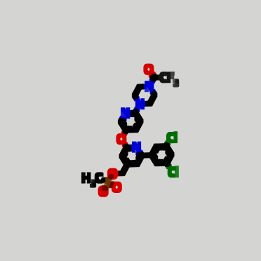 CS(=O)(=O)OCc1cc(Oc2ccc(N3CCN(C(=O)C(F)(F)F)CC3)nc2)nc(-c2cc(Cl)cc(Cl)c2)c1